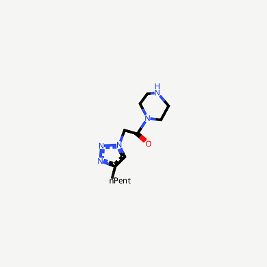 CCCCCc1cn(CC(=O)N2CCNCC2)nn1